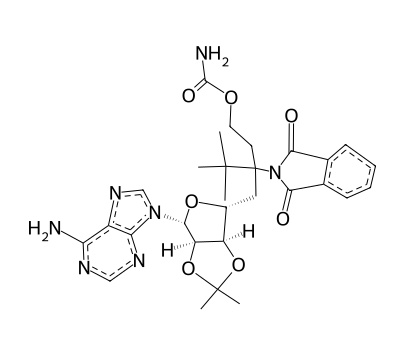 CC1(C)O[C@@H]2[C@H](O1)[C@@H](CC(CCOC(N)=O)(N1C(=O)c3ccccc3C1=O)C(C)(C)C)O[C@H]2n1cnc2c(N)ncnc21